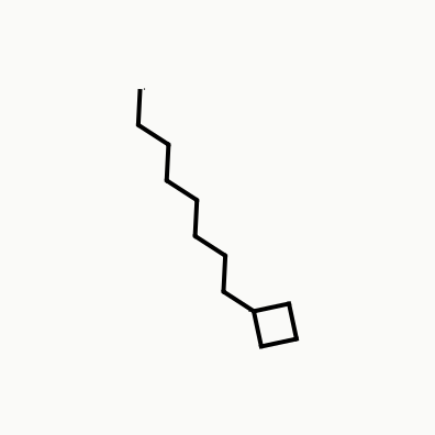 [CH2]CCCCCCC[C]1CCC1